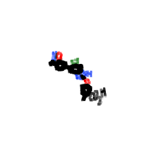 Cc1ccc(Oc2nc3cc(-c4ccc5c(C)noc5c4)c(Cl)cc3[nH]2)cc1C(=O)O